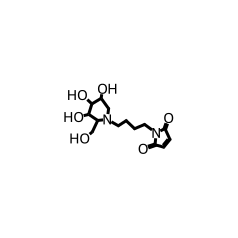 O=C1C=CC(=O)N1CCCCN1CC(O)C(O)C(O)C1CO